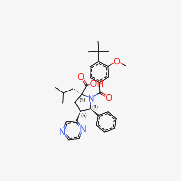 COc1cc(C(=O)N2[C@@H](c3ccccc3)[C@@H](c3cnccn3)C[C@@]2(CC(C)C)C(=O)O)ccc1C(C)(C)C